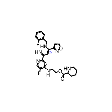 N=C(/C=C(\NCc1ccccc1F)c1ccon1)c1ncc(F)c(NCCOC(=O)C2CCCCN2)n1